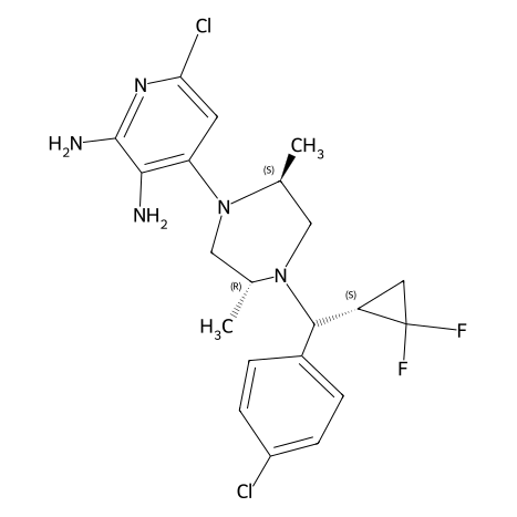 C[C@@H]1CN(c2cc(Cl)nc(N)c2N)[C@@H](C)CN1C(c1ccc(Cl)cc1)[C@@H]1CC1(F)F